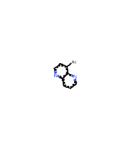 CC(=O)c1ccnc2cccnc12